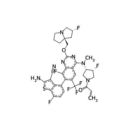 C=CC(=O)N1C[C@@H](F)[C@@H](N(C)c2nc(OC[C@@]34CCCN3C[C@H](F)C4)nc3c(F)c(-c4ccc(F)c5sc(N)c(C#N)c45)c(C(F)(F)F)cc23)C1